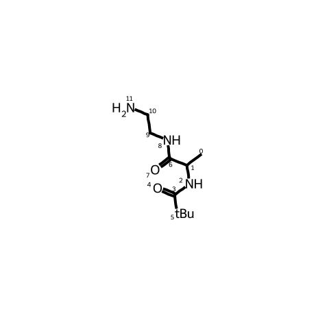 CC(NC(=O)C(C)(C)C)C(=O)NCCN